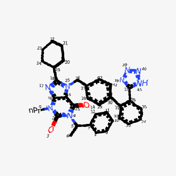 CCCn1c(=O)n(C(C)c2ccccc2)c(=O)c2c1nc(C1CCCCC1)n2Cc1ccc(-c2ccccc2-c2nnn[nH]2)cc1